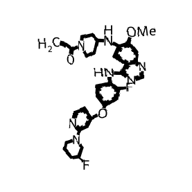 C=CC(=O)N1CCC(Nc2cc3c(Nc4ccc(Oc5ccnc(N6CCC[C@H](F)C6)c5)cc4F)ncnc3cc2OC)CC1